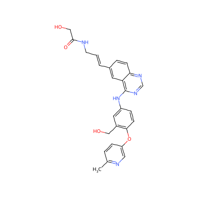 Cc1ccc(Oc2ccc(Nc3ncnc4ccc(C=CCNC(=O)CO)cc34)cc2CO)cn1